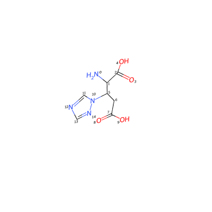 NC(C(=O)O)C(CC(=O)O)n1cncn1